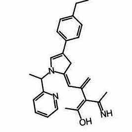 C=C(/C=C1\CC(c2ccc(CC)cc2)=CN1C(C)c1ccccn1)/C(C(C)=N)=C(\C)O